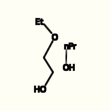 CCCO.CCOCCO